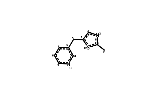 Cc1ncc(Cc2cccnc2)s1